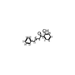 Cc1ccccc1C(=O)CSCc1ccccc1